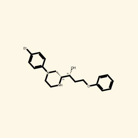 CCc1ccc(N2CCN[C@@H]([C@H](O)CCOc3cc[c]cc3)C2)cc1